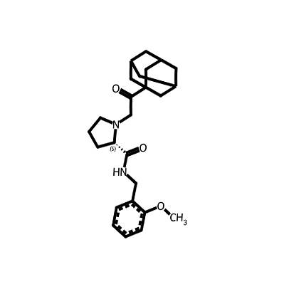 COc1ccccc1CNC(=O)[C@@H]1CCCN1CC(=O)C12CC3CC(CC(C3)C1)C2